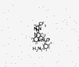 Cc1ccc(CN)cc1C(=O)NC(C)c1cc(-n2ncc(C(F)(F)F)n2)nc2ccccc12